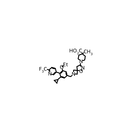 CCOc1cc(CN2CC3(CC(N4CCC(C)(C(=O)O)CC4)=NO3)C2)cc(C2CC2)c1-c1ccc(C(F)(F)F)nc1